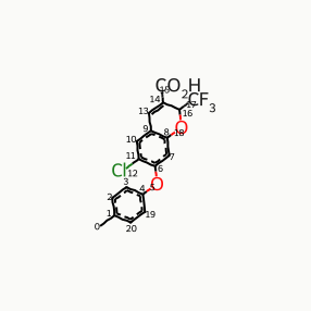 Cc1ccc(Oc2cc3c(cc2Cl)C=C(C(=O)O)C(C(F)(F)F)O3)cc1